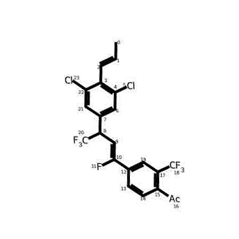 C/C=C/c1c(Cl)cc(C(/C=C(\F)c2ccc(C(C)=O)c(C(F)(F)F)c2)C(F)(F)F)cc1Cl